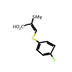 CSC(=CSc1ccc(F)cc1)C(=O)O